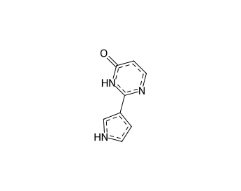 O=c1ccnc(-c2cc[nH]c2)[nH]1